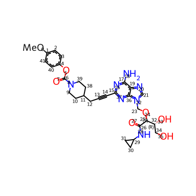 COc1ccc(OC(=O)N2CCC(CC#Cc3nc(N)c4ncn(CO[C@H](C(=O)NC5CC5)[C@H](O)CO)c4n3)CC2)cc1